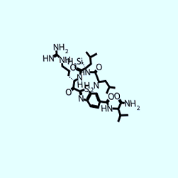 CC(C)C[C@H](N)C(=O)N[C@]([SiH3])(CC(C)C)C(=O)N[C@@H](CCCNC(=N)N)C(=O)c1nc2ccc(C(=O)NC(C(N)=O)C(C)C)cc2s1